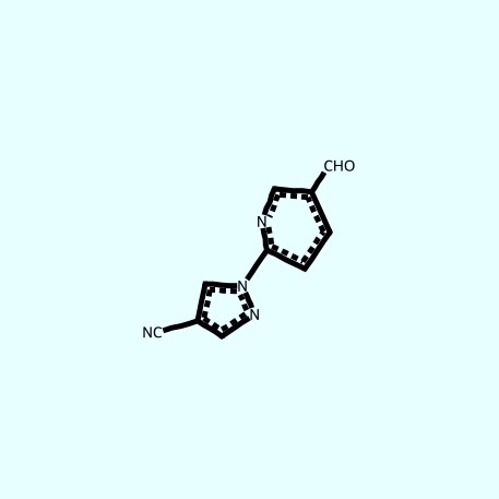 N#Cc1cnn(-c2ccc(C=O)cn2)c1